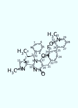 CC[C@@H](c1ccccc1)n1c(-c2nc(C)cs2)nc(=O)c(Cc2ccc(-c3cccn(C)c3=O)c(F)c2)c1O